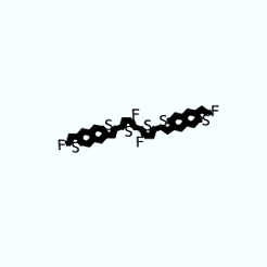 Fc1cc2cc3cc4sc(-c5cc(F)c(-c6sc(-c7cc8cc9cc%10sc(F)cc%10cc9cc8s7)cc6F)s5)cc4cc3cc2s1